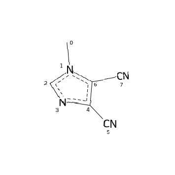 Cn1cnc(C#N)c1C#N